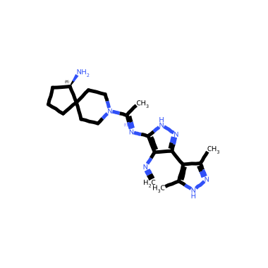 C=Nc1c(-c2c(C)n[nH]c2C)n[nH]c1/N=C(\C)N1CCC2(CCC[C@H]2N)CC1